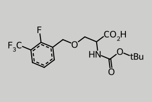 CC(C)(C)OC(=O)NC(COCc1cccc(C(F)(F)F)c1F)C(=O)O